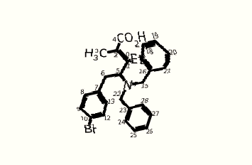 CCC(=C(C)C(=O)O)C(Cc1ccc(Br)cc1)N(Cc1ccccc1)Cc1ccccc1